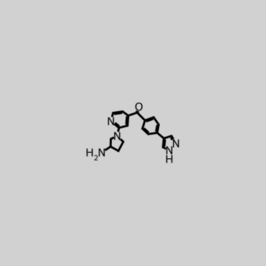 NC1CCN(c2cc(C(=O)c3ccc(-c4cn[nH]c4)cc3)ccn2)C1